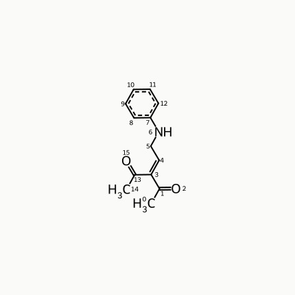 CC(=O)C(=CCNc1ccccc1)C(C)=O